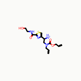 C=CCOC(=O)N(CC=C)CC(N)c1csc(C(=O)NCCO)n1